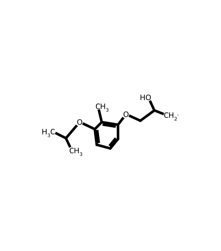 [CH2]C(O)COc1cccc(OC(C)C)c1C